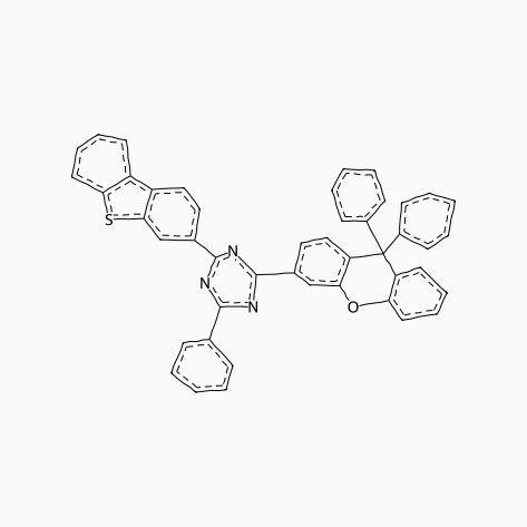 c1ccc(-c2nc(-c3ccc4c(c3)Oc3ccccc3C4(c3ccccc3)c3ccccc3)nc(-c3ccc4c(c3)sc3ccccc34)n2)cc1